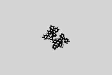 c1ccc(N(c2ccc(-c3cc(-c4ccc5c(c4)c4ccccc4n5-c4ccccc4)c4c(c3)c3ccccc3n4-c3ccccc3)cc2)c2ccc3c(c2)C2(c4ccccc4-c4ccccc42)c2ccccc2-3)cc1